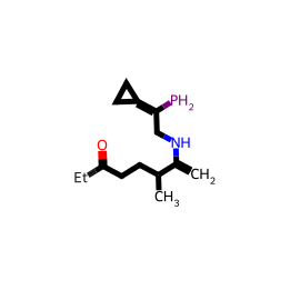 C=C(NCC(P)=C1CC1)C(C)CCC(=O)CC